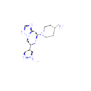 Cn1cc(-c2cn3ncnc3c(N3CCC(CN)CC3)n2)cn1